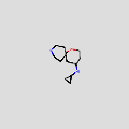 C1CC2(CCN1)CC(NC1CC1)CCO2